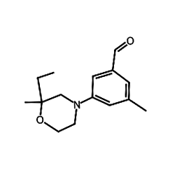 CCC1(C)CN(c2cc(C)cc(C=O)c2)CCO1